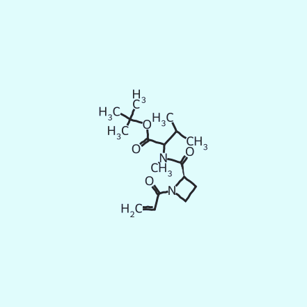 C=CC(=O)N1CC[C@@H]1C(=O)N(C)C(C(=O)OC(C)(C)C)C(C)C